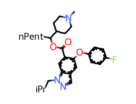 CCCCCC(OC(=O)c1cc2c(cnn2CC(C)C)cc1Oc1ccc(F)cc1)C1CCN(C)CC1